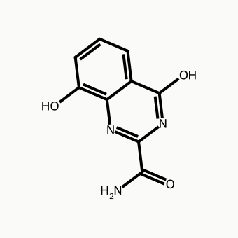 NC(=O)c1nc(O)c2cccc(O)c2n1